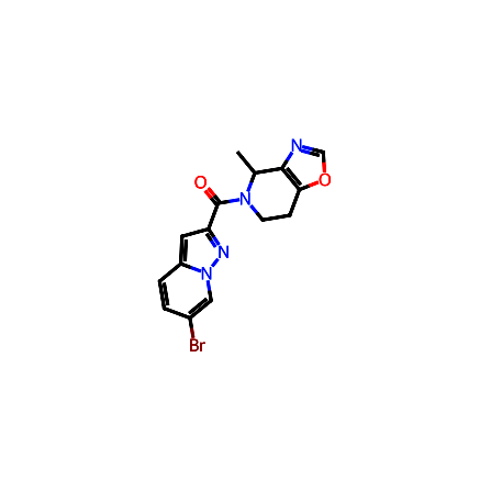 CC1c2ncoc2CCN1C(=O)c1cc2ccc(Br)cn2n1